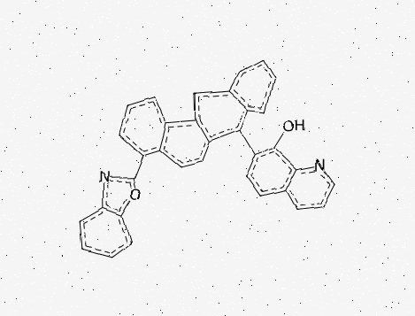 Oc1c(-c2c3ccccc3cc3c2ccc2c(-c4nc5ccccc5o4)cccc23)ccc2cccnc12